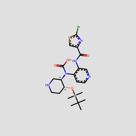 CC(C)(C)[Si](C)(C)O[C@@H]1CCNC[C@H]1N(C(=O)O)c1ccncc1NC(=O)c1csc(Br)n1